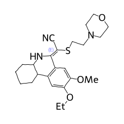 CCOc1cc2c(cc1OC)/C(=C(/C#N)SCCN1CCOCC1)NC1CCCCC21